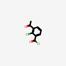 CC(=O)c1cccc(C(=O)Cl)c1Cl